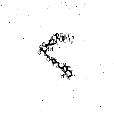 CC(C)(C)OC(=O)N1CCC(C(=O)NC(CCOC2CC(CCc3ccc4c(n3)NCCC4)C2)C(=O)O)CC1